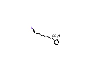 O=C(O)C(CCCCCCCC#CI)c1ccccc1